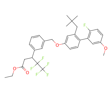 CCOC(=O)CC(c1cccc(COc2ccc(-c3cc(OC)ccc3F)c(CC(C)(C)C)c2)c1)C(F)(F)C(F)(F)F